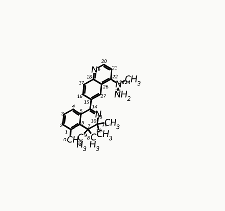 Cc1cccc2c1C(C)(C)C(C)(C)N=C2c1ccc2nccc(N(C)N)c2c1